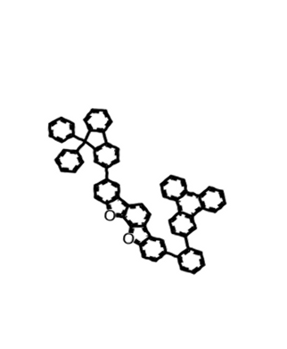 c1ccc(C2(c3ccccc3)c3ccccc3-c3ccc(-c4ccc5oc6c(ccc7c8cc(-c9ccccc9-c9ccc%10c%11ccccc%11c%11ccccc%11c%10c9)ccc8oc76)c5c4)cc32)cc1